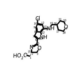 O=C(O)C[C@H]1COC(c2cc3cc(Cl)cc(NCC4CCOCC4)c3[nH]2)=N1